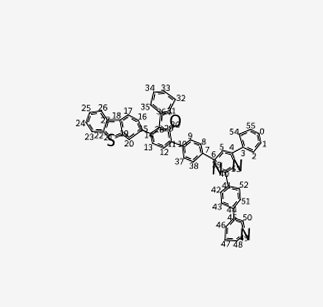 c1ccc(-c2cc(-c3ccc(-c4ccc(-c5ccc6c(c5)sc5ccccc56)c5c4oc4ccccc45)cc3)nc(-c3ccc(-c4cccnc4)cc3)n2)cc1